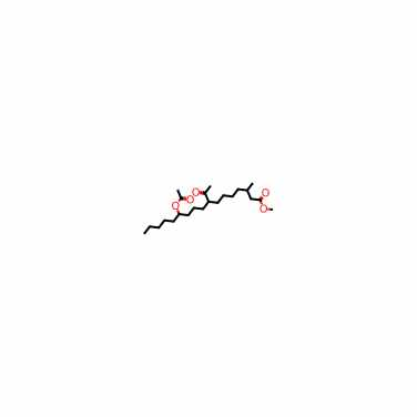 CCCCCC(CCCC(CCCCC(C)CC(=O)OC)C(C)=O)OC(C)=O